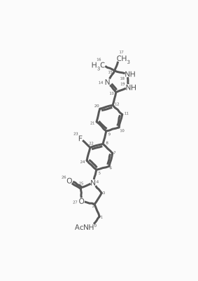 CC(=O)NCC1CN(c2ccc(-c3ccc(C4=NC(C)(C)NN4)cc3)c(F)c2)C(=O)O1